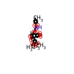 COc1cc([C@@H]2c3cc4c(cc3[C@H](OC(=O)CNS(=O)(=O)c3ccc(C)cc3)[C@H]3COC(=O)[C@@H]23)OCO4)cc(OC)c1OC